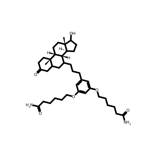 C[C@]12CCC(=O)CC1CC(CCCc1cc(OCCCCCC(N)=O)cc(OCCCCCC(N)=O)c1)[C@@H]1[C@H]2CC[C@]2(C)C(O)CC[C@@H]12